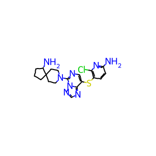 Nc1ccc(Sc2cnc(N3CCC4(CCC[C@H]4N)CC3)n3ncnc23)c(Cl)n1